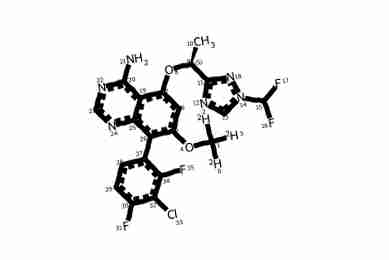 [2H]C([2H])([2H])Oc1cc(O[C@@H](C)c2ncn(C(F)F)n2)c2c(N)ncnc2c1-c1ccc(F)c(Cl)c1F